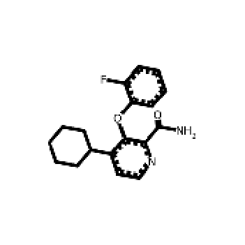 NC(=O)c1nccc(C2CCCCC2)c1Oc1ccccc1F